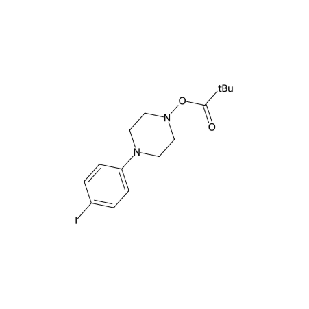 CC(C)(C)C(=O)ON1CCN(c2ccc(I)cc2)CC1